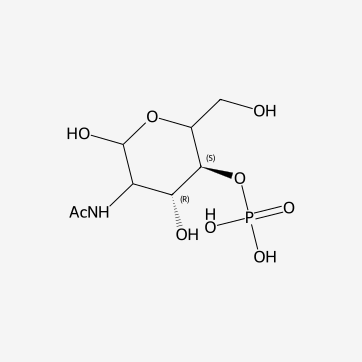 CC(=O)NC1C(O)OC(CO)[C@@H](OP(=O)(O)O)[C@@H]1O